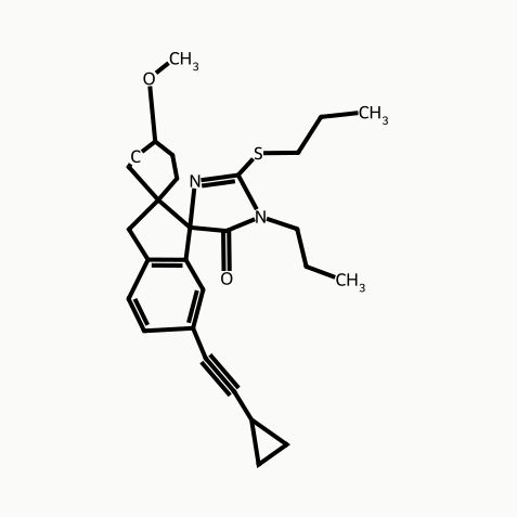 CCCSC1=NC2(C(=O)N1CCC)c1cc(C#CC3CC3)ccc1CC21CCC(OC)CC1